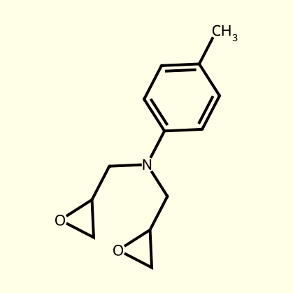 Cc1ccc(N(CC2CO2)CC2CO2)cc1